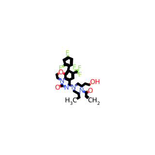 C=CC(=O)N1C(CC)CN(c2nc(=O)n3c4c(c(-c5ccc(F)cc5F)c(C(F)(F)F)cc24)OCC3)CC1CCO